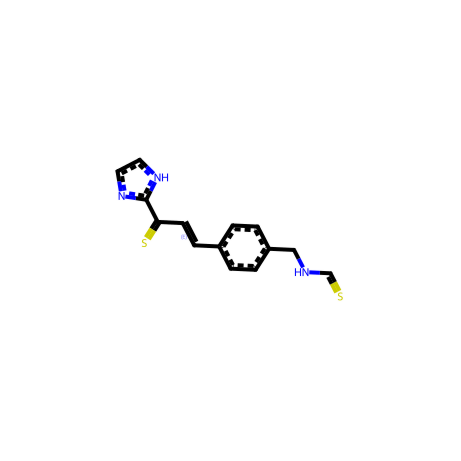 S=CNCc1ccc(/C=C/C(=S)c2ncc[nH]2)cc1